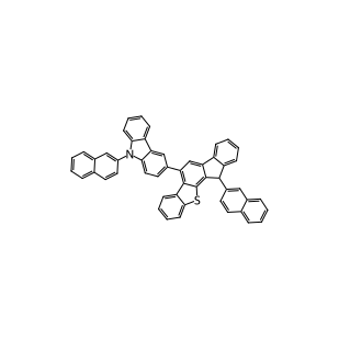 c1ccc2c(c1)-c1cc(-c3ccc4c(c3)c3ccccc3n4-c3ccc4ccccc4c3)c3c(sc4ccccc43)c1C2c1ccc2ccccc2c1